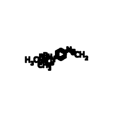 C=C=Nc1ccc(N2CCC([N+](C)(C)CCCC)C2)cc1